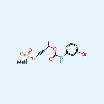 CNS(=O)(=O)OC#CC(C)OC(=O)Nc1cccc(Br)c1